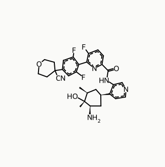 C[C@H]1C[C@@H](c2ccncc2NC(=O)c2ccc(F)c(-c3c(F)cc(C4(C#N)CCOCC4)cc3F)n2)C[C@@H](N)[C@]1(C)O